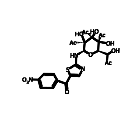 CC(=O)C(O)[C@H]1O[C@@H](Nc2ncc(C(=O)c3ccc([N+](=O)[O-])cc3)s2)[C@](O)(C(C)=O)[C@](O)(C(C)=O)[C@@]1(O)C(C)=O